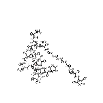 CC[C@]1(OC(=O)N(C)CCN(C)C(=O)OCc2ccc(NC(=O)[C@H](CCCNC(N)=O)NC(=O)[C@@H](NC(=O)CCOCCOCCOCCOCCNC(=O)CCN3C(=O)C=CC3=O)C(C)C)cc2)C(=O)OCc2c1cc1n(c2=O)Cc2c-1nc1cc(F)c(C)c3c1c2[C@H](NC(=O)c1ccccn1)CC3